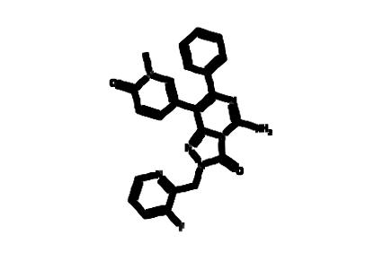 Cn1cc(-c2c(-c3ccccc3)nc(N)n3c(=O)n(Cc4ncccc4F)nc23)ccc1=O